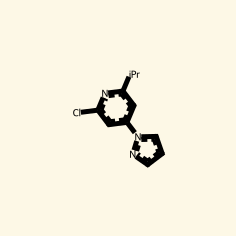 CC(C)c1cc(-n2cccn2)cc(Cl)n1